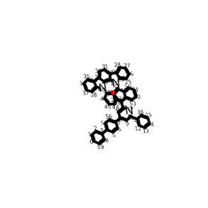 c1ccc(-c2ccc(-c3cc(-c4ccccc4)nc(-c4ccc(-n5c6ccccc6c6ccc7c8ccccc8n(-c8ccccc8)c7c65)c5ccccc45)c3)cc2)cc1